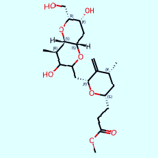 C=C1[C@H](C)C[C@H](CCC(=O)OC)O[C@@H]1CC1O[C@H]2C[C@@H](O)[C@@H](CO)O[C@H]2[C@H](C)C1O